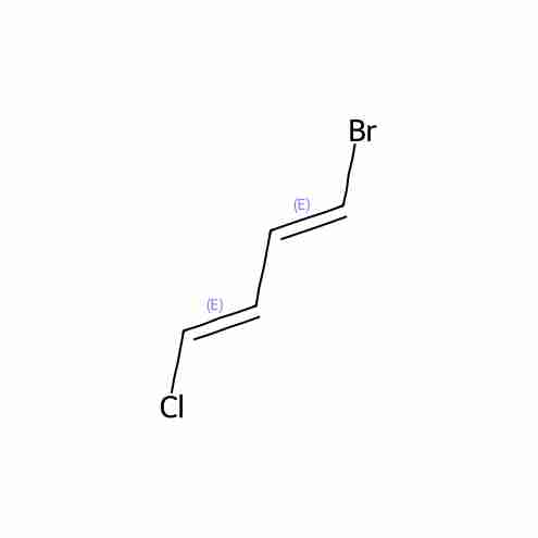 Cl/C=C/C=C/Br